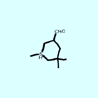 C[SH]1CC(C=O)CC(C)(C)C1